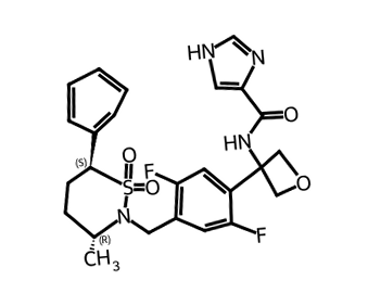 C[C@@H]1CC[C@@H](c2ccccc2)S(=O)(=O)N1Cc1cc(F)c(C2(NC(=O)c3c[nH]cn3)COC2)cc1F